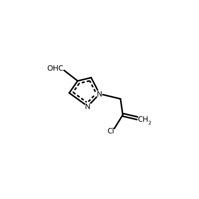 C=C(Cl)Cn1cc(C=O)cn1